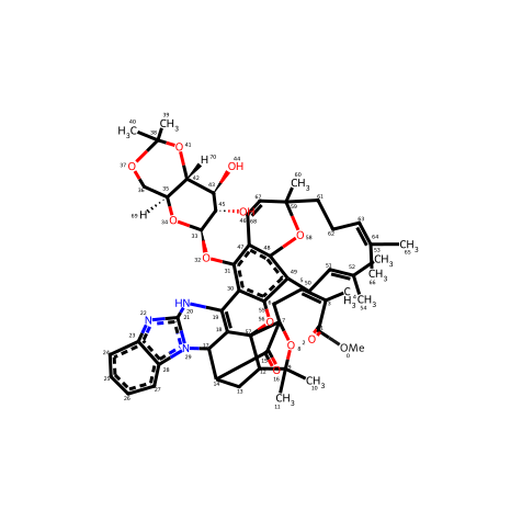 COC(=O)/C(C)=C\CC12OC(C)(C)C3CC(C1=O)C1C4=C(Nc5nc6ccccc6n51)c1c(O[C@H]5O[C@H]6COC(C)(C)O[C@@H]6[C@@H](O)[C@@H]5O)c5c(c(CC=C(C)C)c1OC432)OC(C)(CCC=C(C)C)C=C5